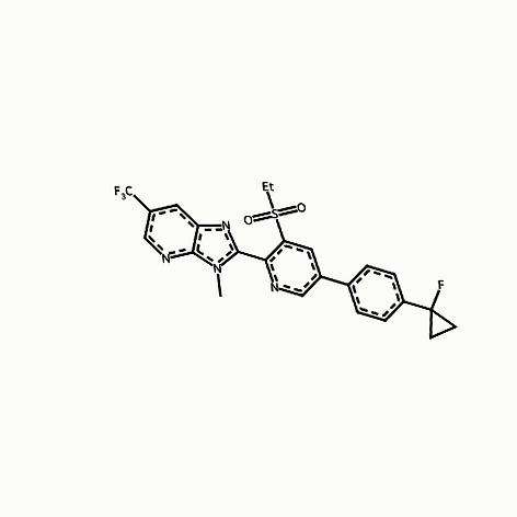 CCS(=O)(=O)c1cc(-c2ccc(C3(F)CC3)cc2)cnc1-c1nc2cc(C(F)(F)F)cnc2n1C